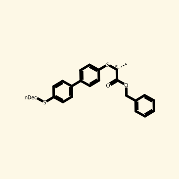 CCCCCCCCCCSc1ccc(-c2ccc(S[C@H](C)C(=O)OCc3ccccc3)cc2)cc1